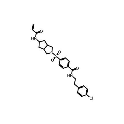 C=CC(=O)NC1CC2CN(S(=O)(=O)c3ccc(C(=O)NCCc4ccc(Cl)cc4)cc3)CC2C1